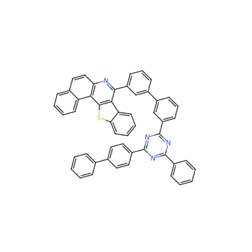 c1ccc(-c2ccc(-c3nc(-c4ccccc4)nc(-c4cccc(-c5cccc(-c6nc7ccc8ccccc8c7c7sc8ccccc8c67)c5)c4)n3)cc2)cc1